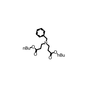 CCCCOC(=O)CCN(CCC(=O)OCCCC)Cc1ccccc1